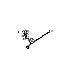 C=Nn1c(/C(N)=N\C)ccc1[C@]1(C#N)O[C@H](COP(=O)(O)OCC(COCCCCCCCCCCCCCCCCCC)COc2ccccc2)[C@@H](O)[C@H]1O